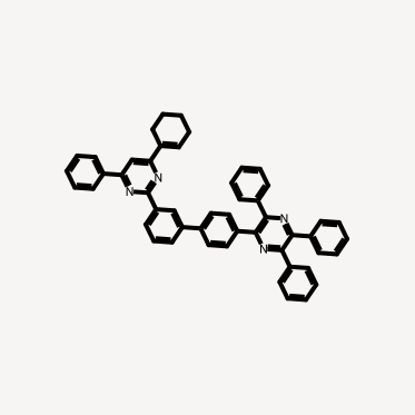 C1=C(c2cc(-c3ccccc3)nc(-c3cccc(-c4ccc(-c5nc(-c6ccccc6)c(-c6ccccc6)nc5-c5ccccc5)cc4)c3)n2)CCCC1